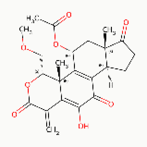 C=C1C(=O)O[C@H](COC)[C@@]2(C)C1=C(O)C(=O)C1=C2[C@H](OC(C)=O)C[C@]2(C)C(=O)CC[C@@H]12